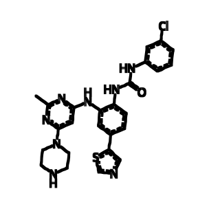 Cc1nc(Nc2cc(-c3cncs3)ccc2NC(=O)Nc2cccc(Cl)c2)cc(N2CCNCC2)n1